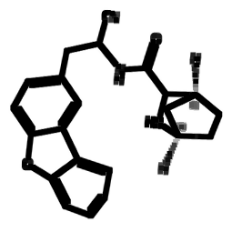 N#CC(Cc1ccc2oc3ccccc3c2c1)NC(=O)C1N[C@@H]2CC[C@H]1C2